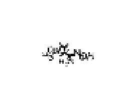 CC1OC(c2ccc(/C(N)=N/O)s2)O1